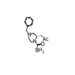 BC(=O)N1CCN(Cc2ccccc2)C[C@@H]1CC(C)=O